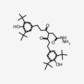 CC(C)(C)c1cc(CCC(=O)C(CC(=O)NN)C(=O)CCc2cc(C(C)(C)C)c(O)c(C(C)(C)C)c2)cc(C(C)(C)C)c1O